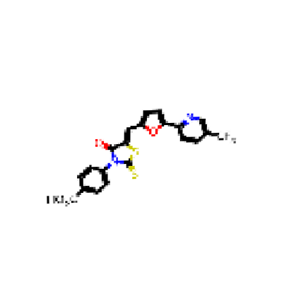 O=C(O)c1ccc(N2C(=O)C(=Cc3ccc(-c4ccc(C(F)(F)F)cn4)o3)SC2=S)cc1